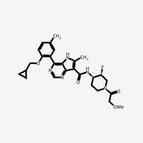 COCC(=O)N1CC[C@@H](NC(=O)c2c(C)[nH]c3c(-c4cc(C)ccc4OCC4CC4)ncnc23)[C@@H](F)C1